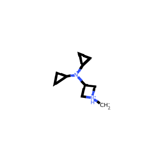 [CH2-][NH+]1CC(N(C2CC2)C2CC2)C1